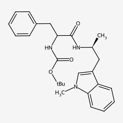 C[C@@H](Cc1cn(C)c2ccccc12)NC(=O)C(Cc1ccccc1)NC(=O)OC(C)(C)C